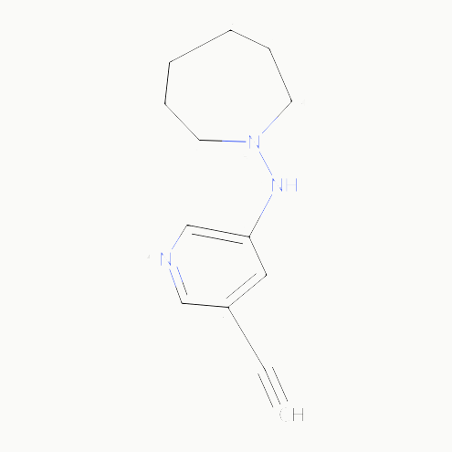 C#Cc1cncc(NN2CCCCCC2)c1